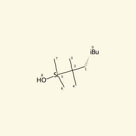 CC[C@@H](C)CC(C)(C)[Si](C)(C)O